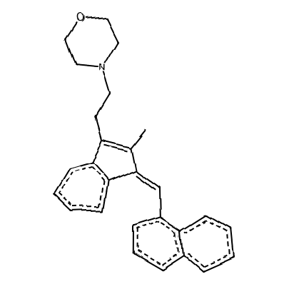 CC1=C(CCN2CCOCC2)c2ccccc2/C1=C\c1cccc2ccccc12